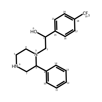 OC(CN1CCNCC1c1ccccc1)c1ccc(C(F)(F)F)cc1